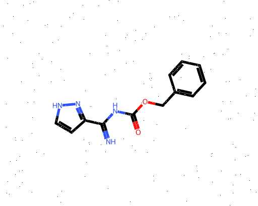 N=C(NC(=O)OCc1ccccc1)c1cc[nH]n1